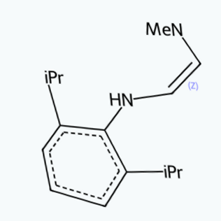 CN/C=C\Nc1c(C(C)C)cccc1C(C)C